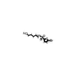 O=S(=O)(NCCCCCO)c1ccc(Br)s1